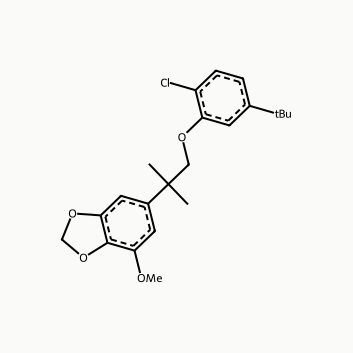 COc1cc(C(C)(C)COc2cc(C(C)(C)C)ccc2Cl)cc2c1OCO2